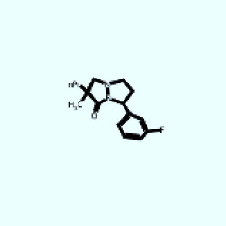 CCCC1(C)CN2CCC(c3cccc(F)c3)N2C1=O